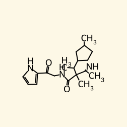 CC(=N)C(C)(C(=O)NCC(=O)c1ccc[nH]1)C(C)C1CCC(C)C1